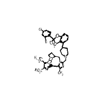 Cc1nc(CN2CCC(c3cccc4c3OC(C)(c3ccc(Cl)cc3F)O4)CC2)n(CC2CCO2)c1-c1nc(C(=O)O)c(C)o1